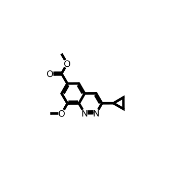 COC(=O)c1cc(OC)c2nnc(C3CC3)cc2c1